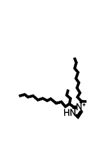 CCCCCCCCCCCC(CCC)c1[nH]cc[n+]1C(C)CCCCCCCCC